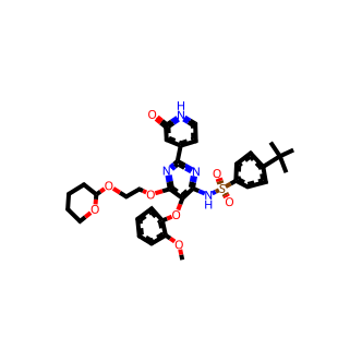 COc1ccccc1Oc1c(NS(=O)(=O)c2ccc(C(C)(C)C)cc2)nc(-c2cc[nH]c(=O)c2)nc1OCCOC1CCCCO1